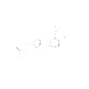 Cc1nn([C@@H](C)C2CCOC2=O)cc1Nc1ncc(C(F)(F)F)c(C2CC2)n1